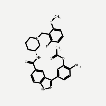 COc1cccc(F)c1CN1CCC[C@@H](NC(=O)c2ccc3[nH]nc(-c4ccc(N)c(OC(C)=O)c4)c3c2)C1